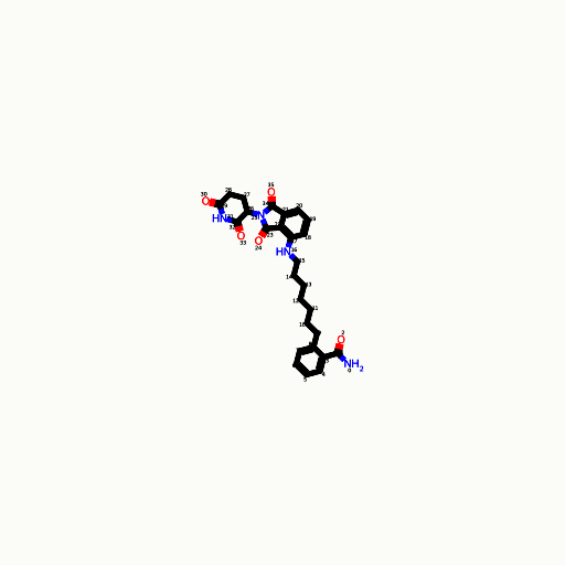 NC(=O)c1ccccc1CCCCCCCNc1cccc2c1C(=O)N(C1CCC(=O)NC1=O)C2=O